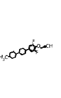 C#CCOc1c(F)cc(C2CCC(C3CCC(C)CC3)CC2)cc1F